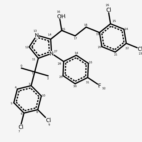 CC(C)(c1ccc(Cl)c(Cl)c1)c1cnc(C(O)CCc2ccc(Cl)cc2Cl)n1-c1ccc(F)cc1